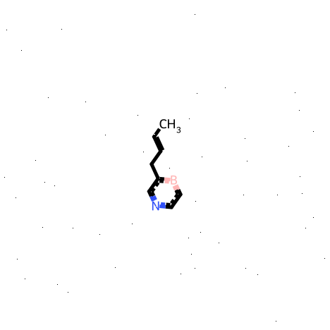 C/C=C/Cc1bccnc1